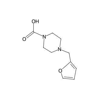 O=C(O)N1CCN(Cc2ccco2)CC1